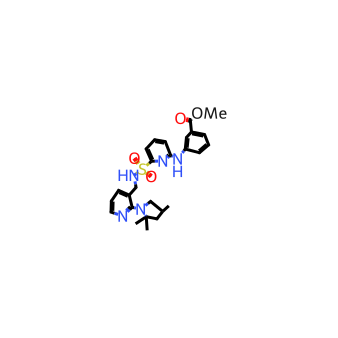 COC(=O)c1cccc(Nc2cccc(S(=O)(=O)NCc3cccnc3N3CC(C)CC3(C)C)n2)c1